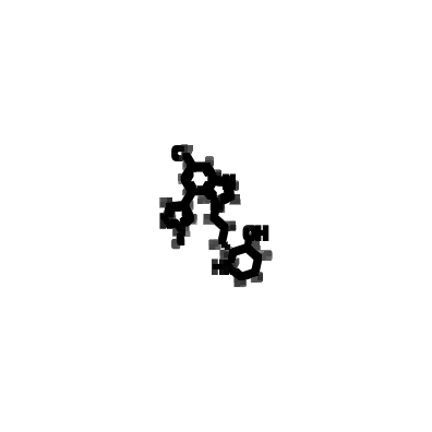 Cn1cc(-c2cc(Cl)cc3ncn(CCC[C@H]4NCCC[C@@H]4O)c23)cn1